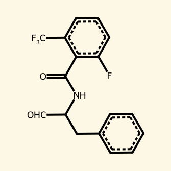 O=CC(Cc1ccccc1)NC(=O)c1c(F)cccc1C(F)(F)F